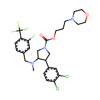 CN(Cc1ccc(C(F)(F)F)c(F)c1)C1CN(C(=O)OCCCN2CCOCC2)CC1c1ccc(Cl)c(Cl)c1